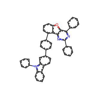 c1ccc(-c2nc(-c3ccccc3)c3oc4cccc(-c5ccc(-c6ccc7c8ccccc8n(-c8ccccc8)c7c6)cc5)c4c3n2)cc1